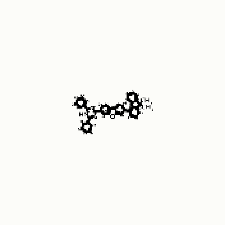 CC1(C)c2ccccc2-c2c(-c3ccc4c(c3)oc3cc(C5=NC(c6ccccc6)NC(c6ccccc6)=N5)ccc34)cccc21